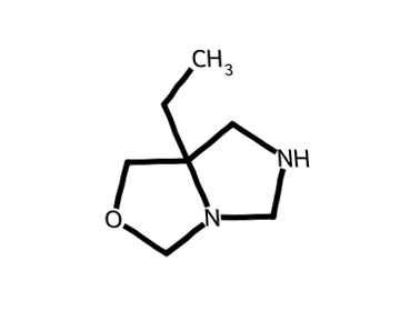 CCC12CNCN1COC2